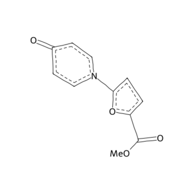 COC(=O)c1ccc(-n2ccc(=O)cc2)o1